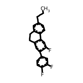 CCCc1ccc2c(c1)CCc1cc(-c3ccc(F)c(F)c3)c(F)cc1-2